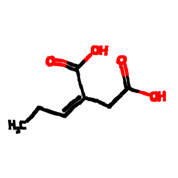 CCC=C(CC(=O)O)C(=O)O